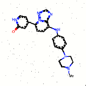 CCCN1CCN(c2ccc(Nc3ccc(-c4cc[nH]c(=O)c4)n4ncnc34)cc2)CC1